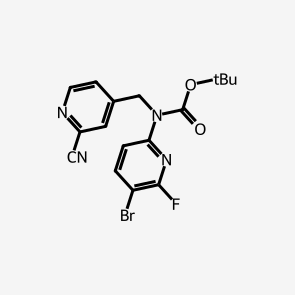 CC(C)(C)OC(=O)N(Cc1ccnc(C#N)c1)c1ccc(Br)c(F)n1